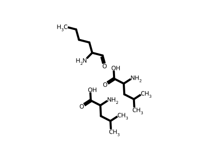 CC(C)CC(N)C(=O)O.CC(C)CC(N)C(=O)O.CCCCC(N)C=O